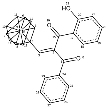 O=C(C(=C[C]12[CH]3[CH]4[CH]5[CH]1[Fe]45321678[CH]2[CH]1[CH]6[CH]7[CH]28)C(=O)c1ccccc1O)c1ccccc1